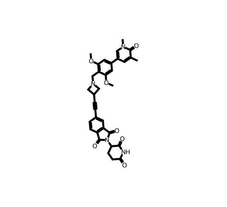 COc1cc(-c2cc(C)c(=O)n(C)c2)cc(OC)c1CN1CC(C#Cc2ccc3c(c2)C(=O)N(C2CCC(=O)NC2=O)C3=O)C1